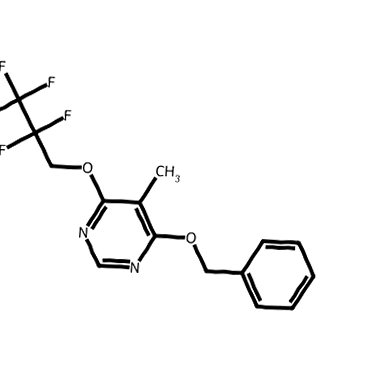 Cc1c(OCc2ccccc2)ncnc1OCC(F)(F)C(F)(F)F